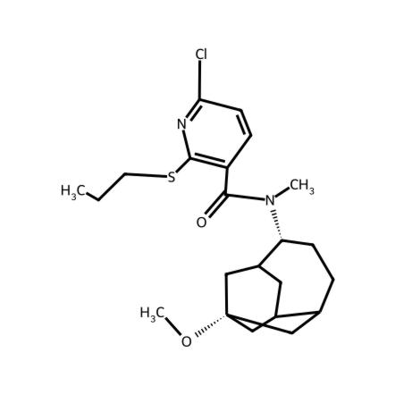 CCCSc1nc(Cl)ccc1C(=O)N(C)[C@@H]1CCC2C[C@@]3(OC)CC2CC1C3